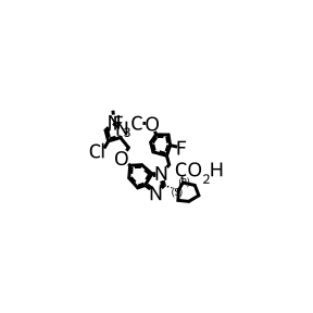 Cn1cc(Cl)c(COc2ccc3nc([C@H]4CCCC[C@H]4C(=O)O)n(Cc4ccc(OC(F)(F)F)cc4F)c3c2)n1